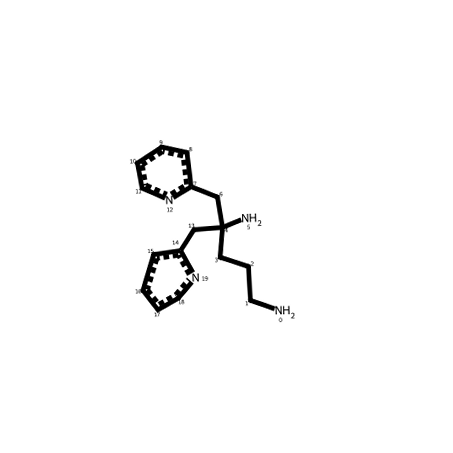 NCCCC(N)(Cc1ccccn1)Cc1ccccn1